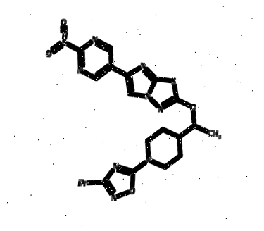 CC(C)c1noc(N2CCC(C(C)Oc3nn4cc(-c5cnc([SH](=O)=O)nc5)nc4s3)CC2)n1